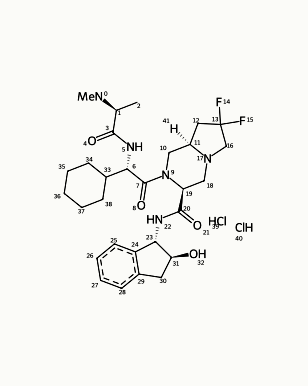 CN[C@@H](C)C(=O)N[C@H](C(=O)N1C[C@H]2CC(F)(F)CN2C[C@H]1C(=O)N[C@H]1c2ccccc2C[C@@H]1O)C1CCCCC1.Cl.Cl